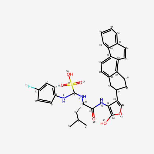 CC(C)C[C@H](NC(Nc1ccc(F)cc1)S(=O)(=O)O)C(=O)Nc1c(C2CCc3c(ccc4c3ccc3ccccc34)C2)coc1O